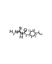 C=Cc1ccc(CC(=O)NC(N)=S)cc1